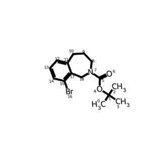 CC(C)(C)OC(=O)N1CCCc2cccc(Br)c2C1